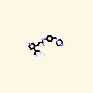 N=C/C(=C\N)c1ccncc1/C=C/C(=O)Nc1ccc(CN2CCNCC2)cc1